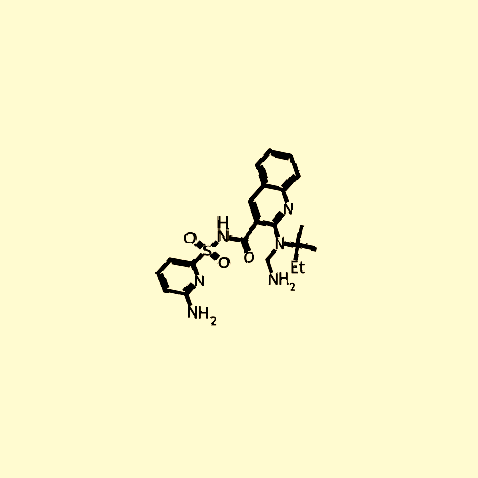 CCC(C)(C)N(CN)c1nc2ccccc2cc1C(=O)NS(=O)(=O)c1cccc(N)n1